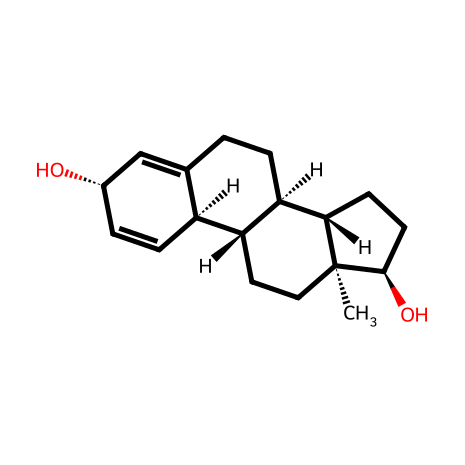 C[C@]12CC[C@H]3[C@@H](CCC4=C[C@@H](O)C=C[C@@H]43)[C@@H]1CC[C@H]2O